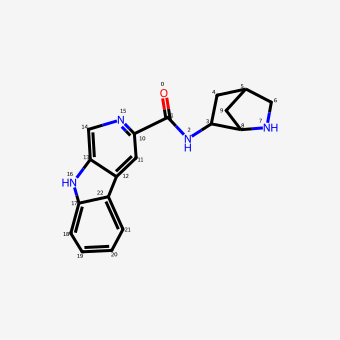 O=C(NC1CC2CNC1C2)c1cc2c(cn1)[nH]c1ccccc12